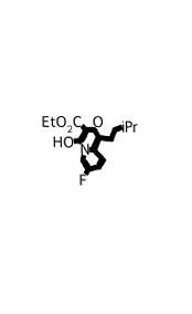 CCOC(=O)c1c(O)n2cc(F)ccc2c(CCC(C)C)c1=O